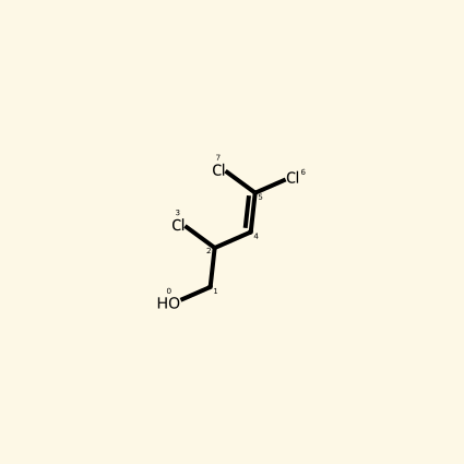 OCC(Cl)C=C(Cl)Cl